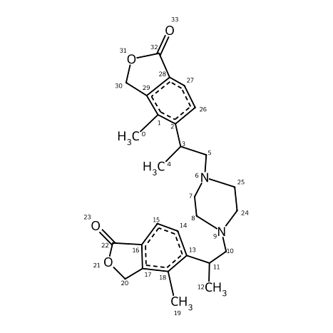 Cc1c(C(C)CN2CCN(CC(C)c3ccc4c(c3C)COC4=O)CC2)ccc2c1COC2=O